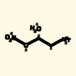 CCCCCO[N+](=O)[O-].O